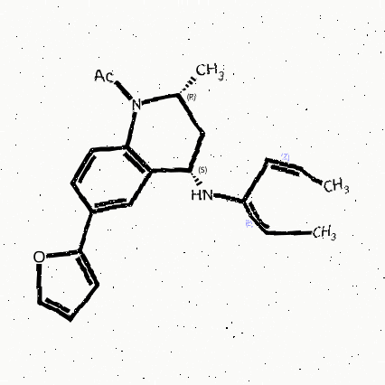 C/C=C\C(=C/C)N[C@H]1C[C@@H](C)N(C(C)=O)c2ccc(-c3ccco3)cc21